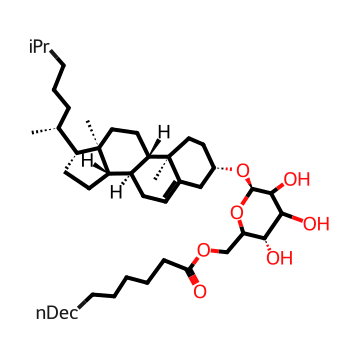 CCCCCCCCCCCCCCCC(=O)OCC1O[C@@H](O[C@H]2CC[C@@]3(C)C(=CC[C@H]4[C@@H]5CC[C@H]([C@H](C)CCCC(C)C)[C@@]5(C)CC[C@@H]43)C2)C(O)C(O)[C@@H]1O